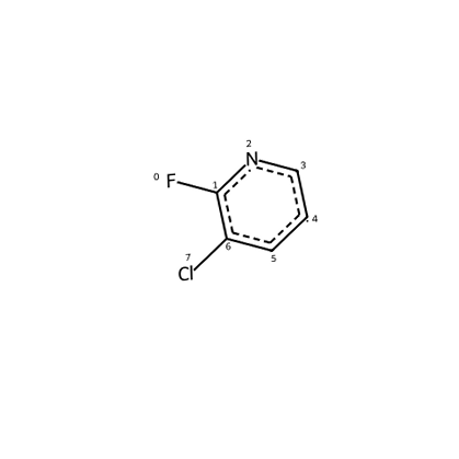 Fc1nc[c]cc1Cl